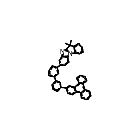 CC1(C)c2ccccc2-n2c1nc1cc(-c3cccc(-c4cccc(-c5ccc6c7ccccc7c7ccccc7c6c5)c4)c3)ccc12